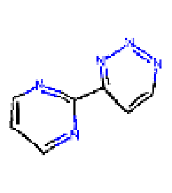 c1cnc(-c2ccnnn2)nc1